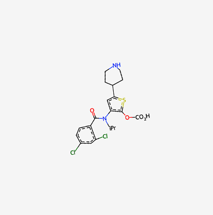 CC(C)N(C(=O)c1ccc(Cl)cc1Cl)c1cc(C2CCNCC2)sc1OC(=O)O